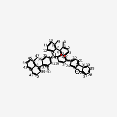 Cc1ccccc1-c1c(C)cccc1N(c1ccc(-c2ccc3c(c2)oc2ccccc23)cc1)c1ccc(-c2cccc3cccc(C)c23)c(C)c1